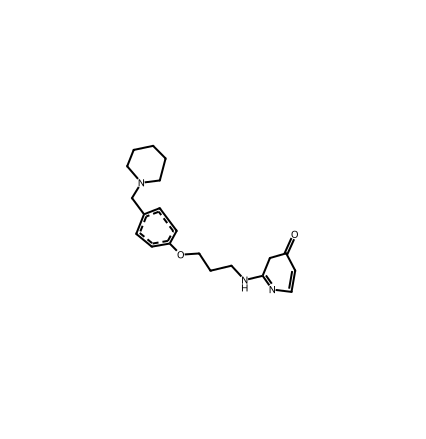 O=C1C=CN=C(NCCCOc2ccc(CN3CCCCC3)cc2)C1